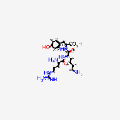 N=C(N)NCCC[C@H](N)C(=O)N[C@@H](CCCCN)C(=O)N[C@@H](Cc1ccc(O)cc1)C(=O)O